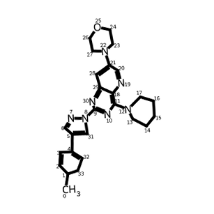 CC1C=CC(c2cnn(-c3nc(N4CCCCC4)c4ncc(N5CCOCC5)cc4n3)c2)=CC1